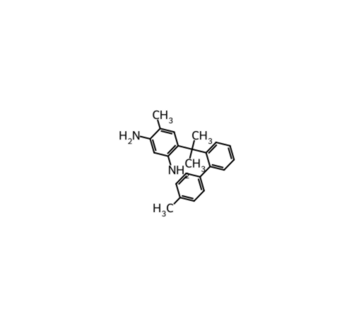 Cc1ccc(-c2ccccc2C(C)(C)c2cc(C)c(N)cc2N)cc1